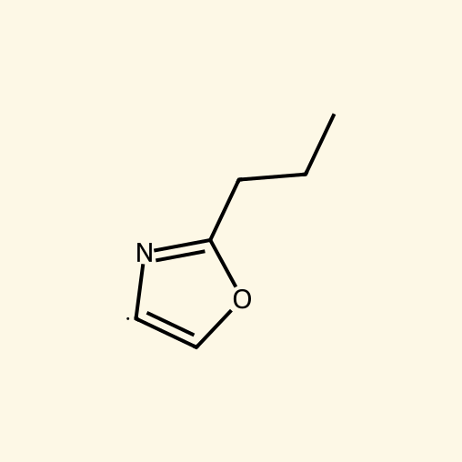 CCCc1n[c]co1